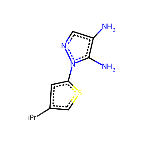 CC(C)c1csc(-n2ncc(N)c2N)c1